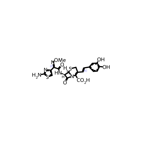 CO/N=C(\C(=O)N[C@@H]1C(=O)N2C(C(=O)O)=C(/C=C/c3ccc(O)c(O)c3)CS[C@H]12)c1csc(N)n1